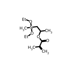 C=C(C)C(=O)OC(C)C[Si](C)(OCC)OCC